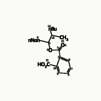 CCCCCCCCCC(OC(=O)c1ccccc1C(=O)O)C(C)CCCC